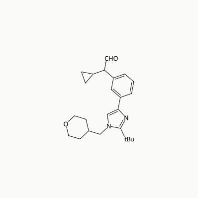 CC(C)(C)c1nc(-c2cccc(C(C=O)C3CC3)c2)cn1CC1CCOCC1